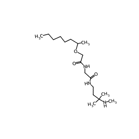 CCCCCCC(C)OCC(=O)NCC(=O)NCCC(C)(C)NC